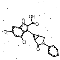 O=C(O)c1[nH]c2cc(Cl)cc(Cl)c2c1C1=C2C(=O)N(c3ccccc3)CC21